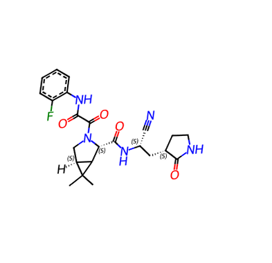 CC1(C)C2[C@@H](C(=O)N[C@H](C#N)C[C@@H]3CCNC3=O)N(C(=O)C(=O)Nc3ccccc3F)C[C@@H]21